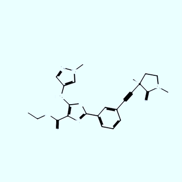 CCOC(=O)c1nc(-c2cccc(C#C[C@]3(O)CCN(C)C3=O)c2)sc1Nc1cnn(C)c1